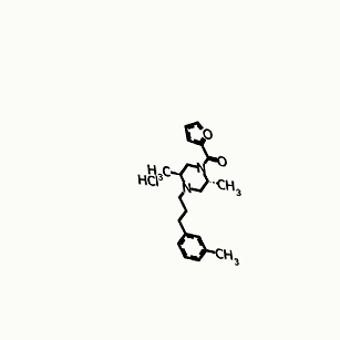 Cc1cccc(CCCN2C[C@@H](C)N(C(=O)c3ccco3)C[C@@H]2C)c1.Cl